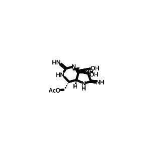 CC(=O)OC[C@@H]1NC(=N)N2CCC(O)(O)C23NC(=N)N[C@@H]13